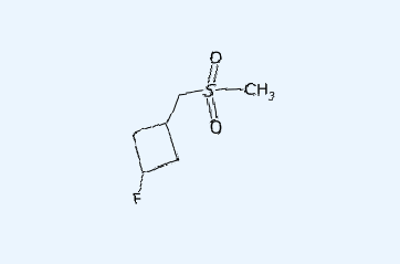 CS(=O)(=O)CC1CC(F)C1